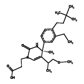 CCc1cc([C@]2(C)NC(=O)N(CCC(=O)O)C=C2C(C)COC)ccc1CCC(C)(C)C